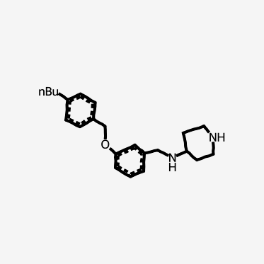 CCCCc1ccc(COc2cccc(CNC3CCNCC3)c2)cc1